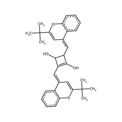 CC(C)(C)C1=C/C(=C\C2=C(O)C(/C=C3\C=C(C(C)(C)C)Oc4ccccc43)C2O)c2ccccc2O1